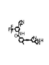 Cc1ccc(C(=O)Nc2cc(-n3ccnc3)cc(C(F)(F)F)c2)cc1C#Cc1cnc2[nH]ncc2c1